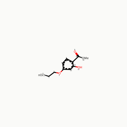 CCCCCCCCCCOc1ccc(C(=O)OC)c(O)c1